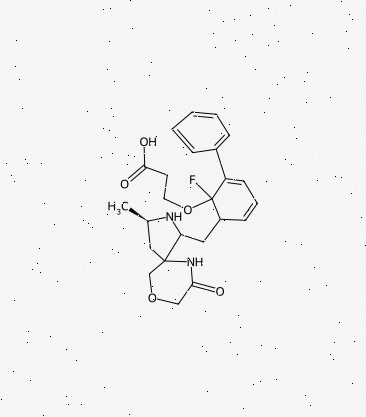 C[C@@H]1CC2(COCC(=O)N2)C(CC2C=CC=C(c3ccccc3)C2(F)OCCC(=O)O)N1